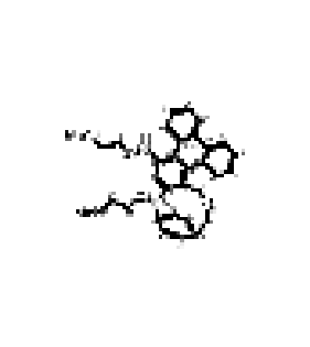 CNCCOBc1cc2c(c3c4ccccc4c4ccccc4c13)COCc1ccc(cc1)B2OCCNC